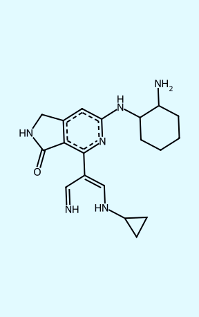 N=C/C(=C\NC1CC1)c1nc(NC2CCCCC2N)cc2c1C(=O)NC2